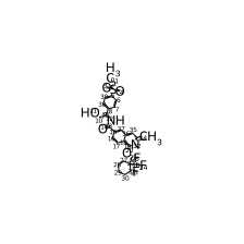 CCS(=O)(=O)c1ccc([C@H](CO)NC(=O)c2ccc3c(OCC4(C(F)(F)F)CCCCC4)nc(C)cc3c2)cc1